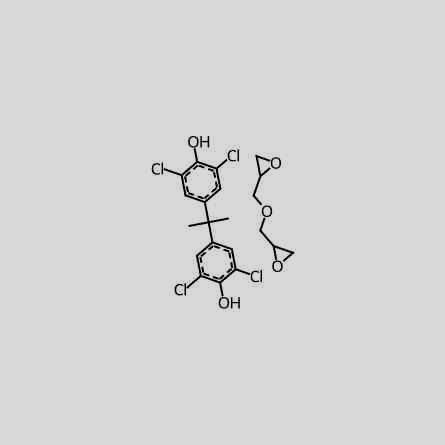 C(OCC1CO1)C1CO1.CC(C)(c1cc(Cl)c(O)c(Cl)c1)c1cc(Cl)c(O)c(Cl)c1